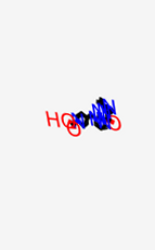 CC(C)c1ncc2c(=O)n3c(nn12)N(CC1CCN(C(=O)O)CC1)CCC3